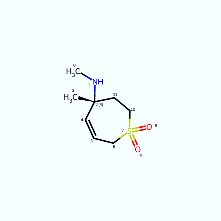 CN[C@@]1(C)C=CCS(=O)(=O)CC1